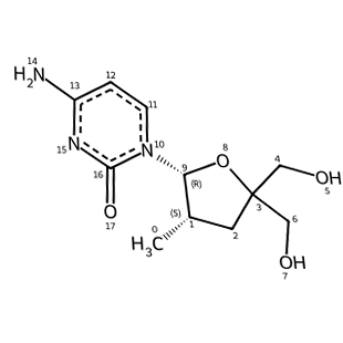 C[C@H]1CC(CO)(CO)O[C@H]1n1ccc(N)nc1=O